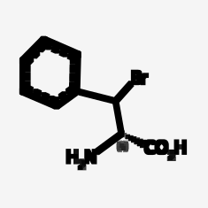 N[C@@H](C(=O)O)C(Br)c1ccccc1